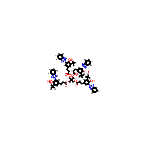 CC(C)(C)c1cc(CCC(=O)OCC(COC(=O)CCc2cc(-n3nc4ccccc4n3)c(O)c(C(C)(C)C)c2)(COC(=O)CCc2cc(-n3nc4ccccc4n3)c(O)c(C(C)(C)C)c2)COC(=O)CCc2cc(-n3nc4ccccc4n3)c(O)c(C(C)(C)C)c2)cc(-n2nc3ccccc3n2)c1O